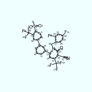 CS(=O)(=O)c1ccc(-c2cccc(-c3cc(C(F)(F)F)c(C#N)c(=O)n3Cc3ccc(F)cc3F)c2)cc1C(F)(F)F